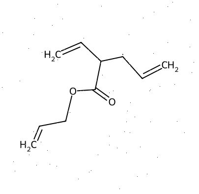 C=C[CH]C(C=C)C(=O)OCC=C